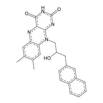 Cc1cc2nc3c(=O)[nH]c(=O)nc-3n(CC(O)Cc3ccc4ccccc4c3)c2cc1C